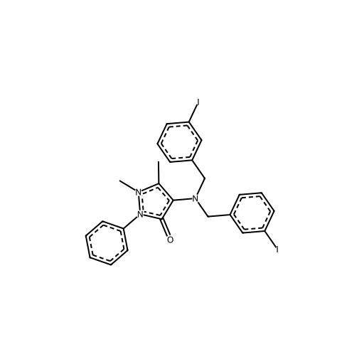 Cc1c(N(Cc2cccc(I)c2)Cc2cccc(I)c2)c(=O)n(-c2ccccc2)n1C